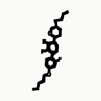 CCCCCOc1ccc(-c2ccc(C3CCC(CCCC)CO3)c(F)c2F)c(F)c1